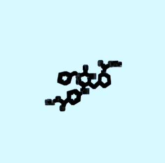 COC(=O)N1CCCC(CC(NC(=O)OCc2ccccc2)C(=O)Nc2ccc(C(=O)OC(C)(C)C)cc2)C1